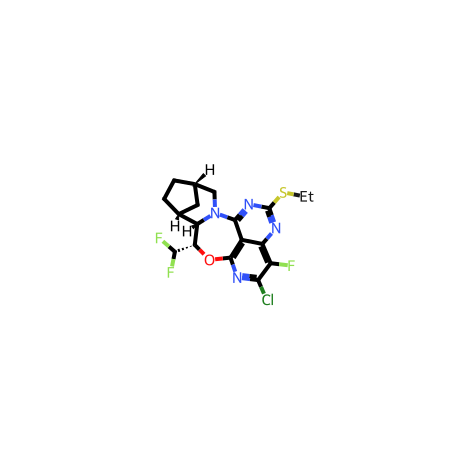 CCSc1nc2c3c(nc(Cl)c(F)c3n1)O[C@H](C(F)F)[C@@H]1[C@@H]3CC[C@@H](C3)CN21